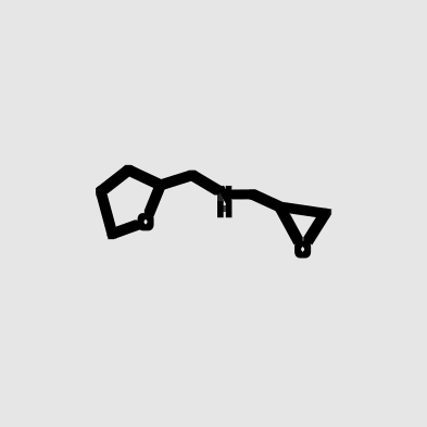 C1COC(CNCC2CO2)C1